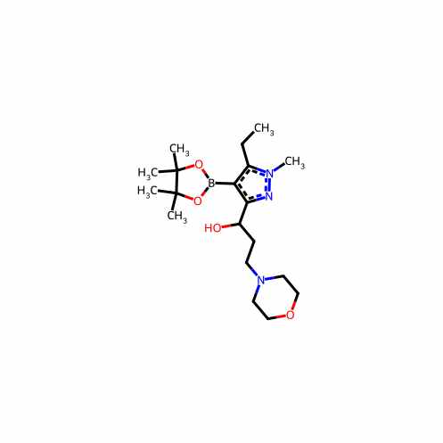 CCc1c(B2OC(C)(C)C(C)(C)O2)c(C(O)CCN2CCOCC2)nn1C